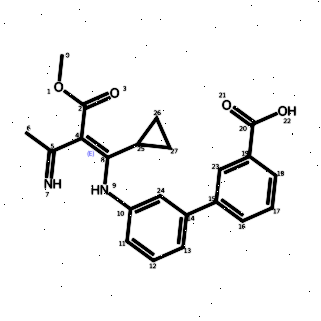 COC(=O)/C(C(C)=N)=C(/Nc1cccc(-c2cccc(C(=O)O)c2)c1)C1CC1